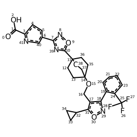 O=C(O)c1ccc(-c2noc(C34CCC(OCc5c(-c6ccccc6C(F)(F)F)noc5C5CC5)(CC3)CC4)n2)cn1